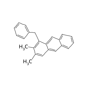 Cc1cc2cc3ccccc3cc2c(Cc2ccccc2)c1C